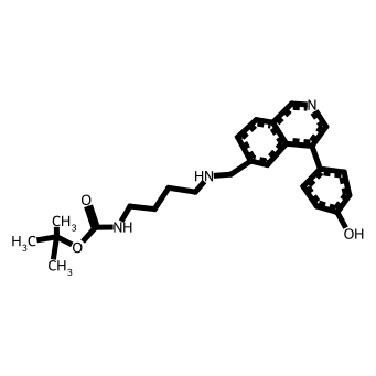 CC(C)(C)OC(=O)NCCCCNCc1ccc2cncc(-c3ccc(O)cc3)c2c1